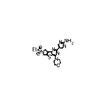 CCS(=O)(=O)N1Cc2sc3c(N4CCOCC4)nc(-c4cnc(N)nc4)nc3c2C1